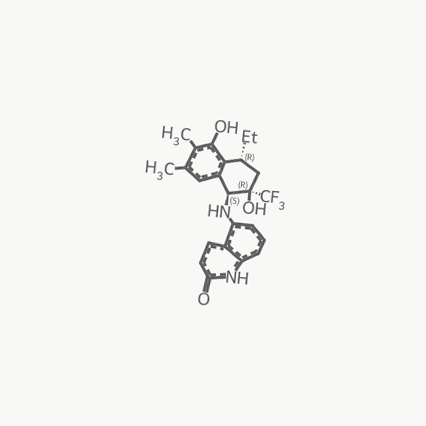 CC[C@@H]1C[C@](O)(C(F)(F)F)[C@@H](Nc2cccc3[nH]c(=O)ccc23)c2cc(C)c(C)c(O)c21